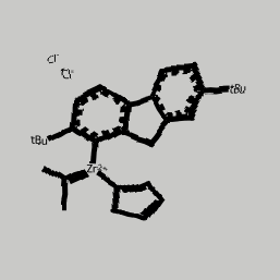 C[C](C)=[Zr+2]([C]1=CC=CC1)[c]1c(C(C)(C)C)ccc2c1Cc1cc(C(C)(C)C)ccc1-2.[Cl-].[Cl-]